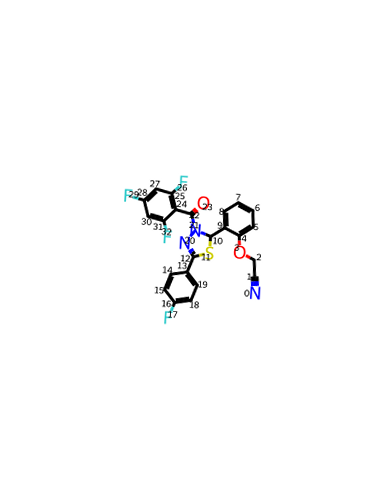 N#CCOc1ccccc1C1SC(c2ccc(F)cc2)=NN1C(=O)c1c(F)cc(F)cc1F